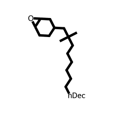 CCCCCCCCCCCCCCCCC(C)(C)C[C]1CCC2OC2C1